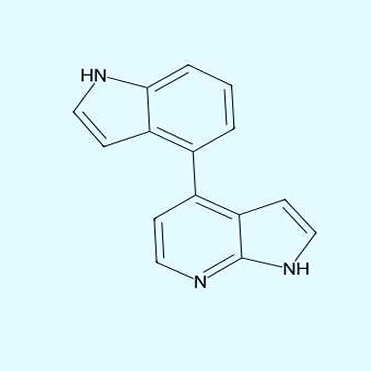 c1cc(-c2ccnc3[nH]ccc23)c2cc[nH]c2c1